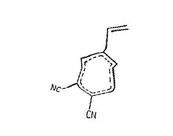 C=Cc1ccc(C#N)c(C#N)c1